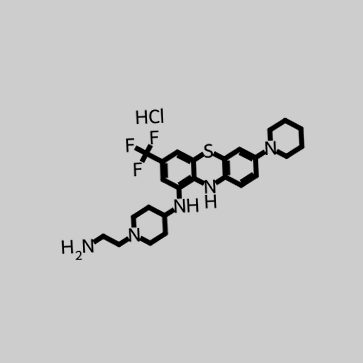 Cl.NCCN1CCC(Nc2cc(C(F)(F)F)cc3c2Nc2ccc(N4CCCCC4)cc2S3)CC1